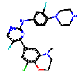 CC(C)N1CCOc2c(Cl)cc(-c3nc(Nc4ccc(N5CCNCC5)c(F)c4)ncc3F)cc21